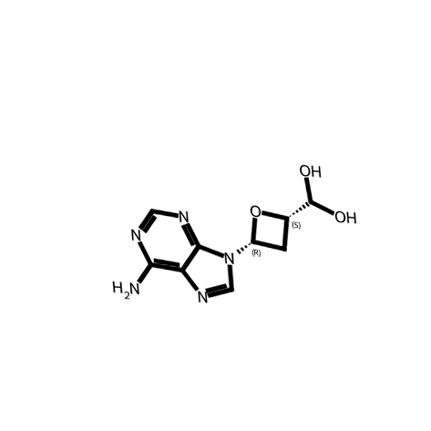 Nc1ncnc2c1ncn2[C@H]1C[C@@H](C(O)O)O1